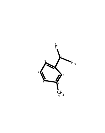 FC(F)c1[c]c(C(F)(F)F)ccc1